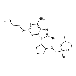 CCC(C)OP(=O)(O)COC1CCCC1n1c(Br)nc2c(N)nc(OCCOC)nc21